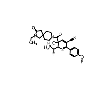 CCN1CC2(CCN(C(=O)C3(C)C=C(C#N)C(c4ccc(OF)cc4)=NC3C(F)P)CC2)CC1=O